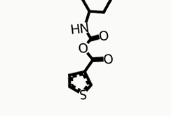 CCC(C)NC(=O)OC(=O)c1ccsc1